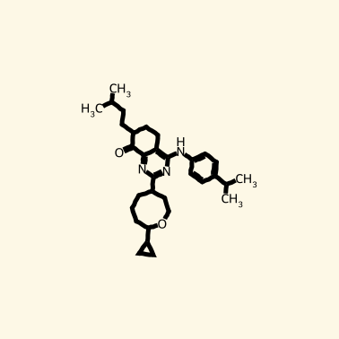 CC(C)CCC1CCc2c(Nc3ccc(C(C)C)cc3)nc(C3CCCC(C4CC4)OCC3)nc2C1=O